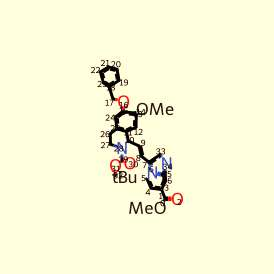 COC(=O)c1ccn2c(/C=C/C3c4cc(OC)c(OCc5ccccc5)cc4CCN3C(=O)OC(C)(C)C)cnc2c1